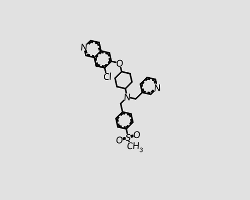 CS(=O)(=O)c1ccc(CN(Cc2cccnc2)C2CCC(Oc3cc4ccncc4cc3Cl)CC2)cc1